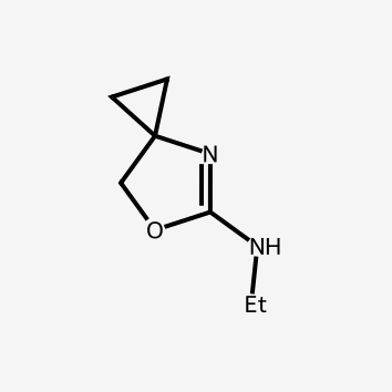 CCNC1=NC2(CC2)CO1